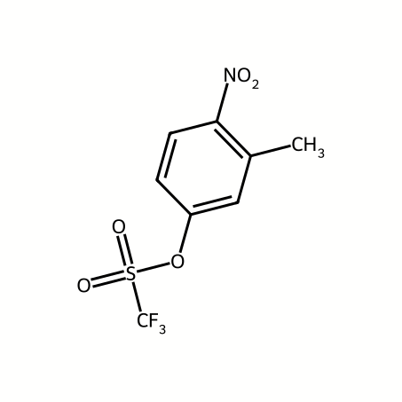 Cc1cc(OS(=O)(=O)C(F)(F)F)ccc1[N+](=O)[O-]